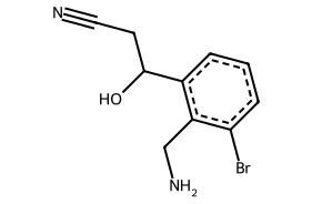 N#CCC(O)c1cccc(Br)c1CN